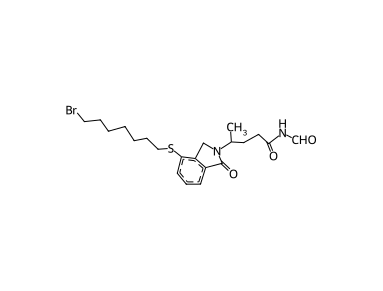 CC(CCC(=O)NC=O)N1Cc2c(SCCCCCCCBr)cccc2C1=O